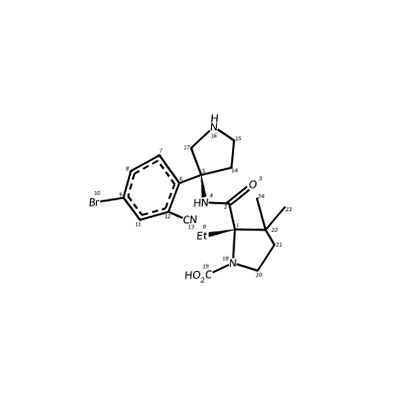 CC[C@]1(C(=O)N[C@]2(c3ccc(Br)cc3C#N)CCNC2)N(C(=O)O)CCC1(C)C